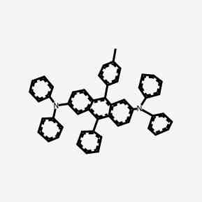 Cc1ccc(-c2c3ccc(N(c4ccccc4)c4ccccc4)cc3c(-c3ccccc3)c3ccc(N(c4ccccc4)c4ccccc4)cc23)cc1